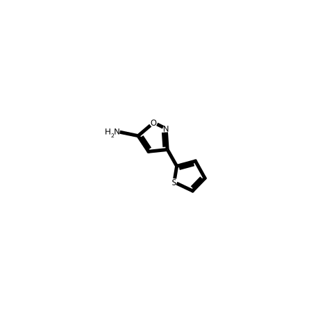 Nc1cc(-c2cccs2)no1